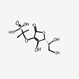 CC(C)(OC1=C(O)[C@@H](C(O)CO)OC1=O)P(=O)(O)O